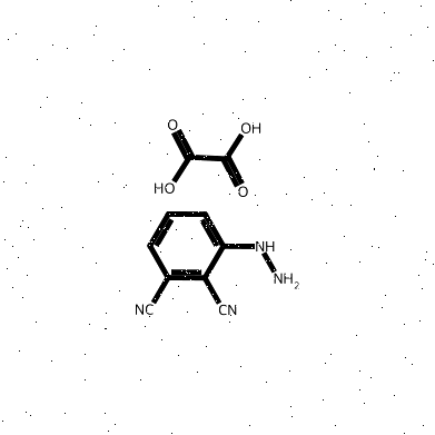 N#Cc1cccc(NN)c1C#N.O=C(O)C(=O)O